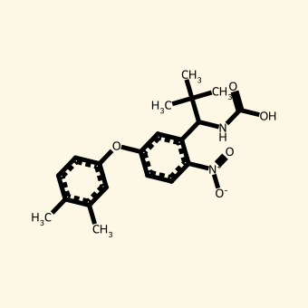 Cc1ccc(Oc2ccc([N+](=O)[O-])c(C(NC(=O)O)C(C)(C)C)c2)cc1C